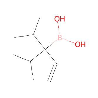 C=CC(B(O)O)(C(C)C)C(C)C